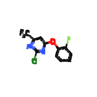 Fc1ccccc1Oc1cc(C(F)(F)F)nc(Cl)n1